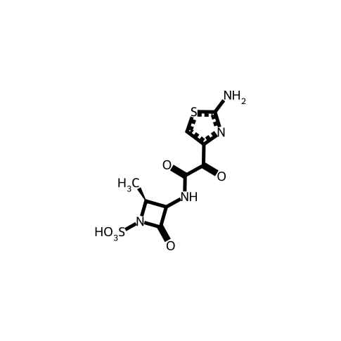 C[C@H]1C(NC(=O)C(=O)c2csc(N)n2)C(=O)N1S(=O)(=O)O